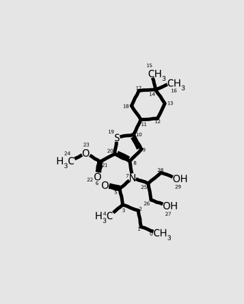 CCCC(C)C(=O)N(c1cc(C2CCC(C)(C)CC2)sc1C(=O)OC)C(CO)CO